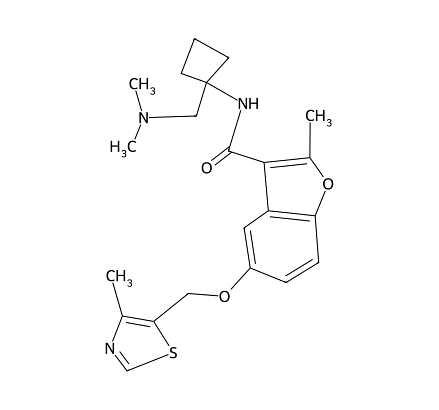 Cc1ncsc1COc1ccc2oc(C)c(C(=O)NC3(CN(C)C)CCC3)c2c1